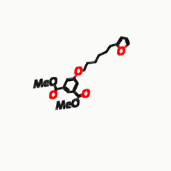 COC(=O)c1cc(OCCCCCCc2ccco2)cc(C(=O)OC)c1